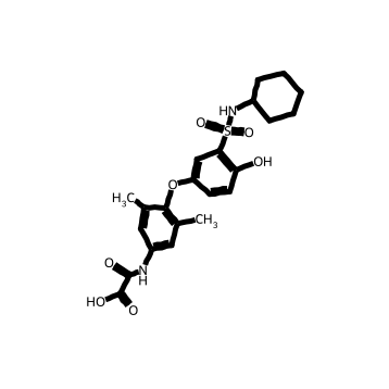 Cc1cc(NC(=O)C(=O)O)cc(C)c1Oc1ccc(O)c(S(=O)(=O)NC2CCCCC2)c1